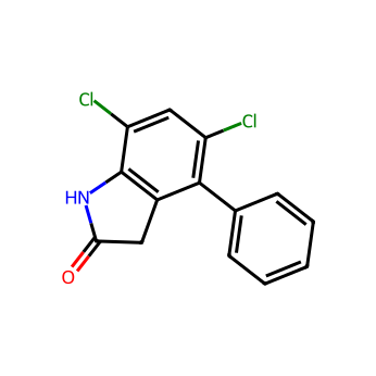 O=C1Cc2c(c(Cl)cc(Cl)c2-c2ccccc2)N1